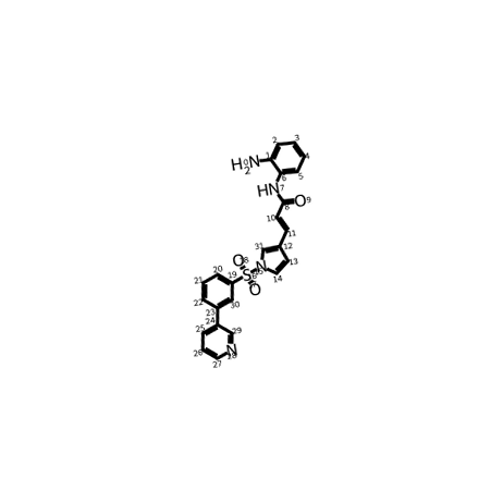 Nc1ccccc1NC(=O)C=Cc1ccn(S(=O)(=O)c2cccc(-c3cccnc3)c2)c1